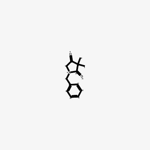 CC1(C)C(=O)CN(Cc2ccccc2)C1=O